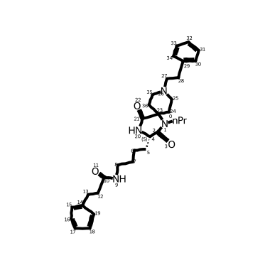 CCCN1C(=O)[C@H](CCCCNC(=O)CCc2ccccc2)NC(=O)C12CCN(CCc1ccccc1)CC2